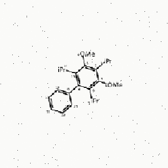 COc1c(C(C)C)c(OC)c(C(C)C)c(-c2ccccc2)c1C(C)C